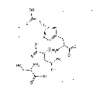 CC(C)CC(N)C(=O)O.NC(CO)C(=O)O.NC(Cc1ccccc1)C(=O)O.NCC(=O)O